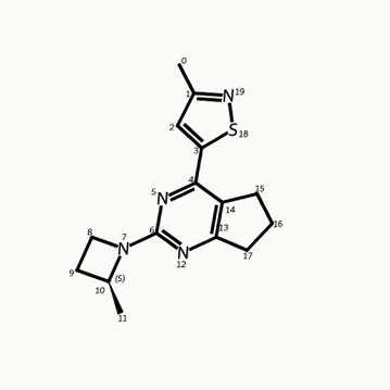 Cc1cc(-c2nc(N3CC[C@@H]3C)nc3c2CCC3)sn1